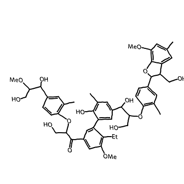 CCc1c(OC)cc(C(=O)C(CO)Oc2ccc(C(O)C(CO)OC)cc2C)cc1-c1cc(C(O)C(CO)Oc2ccc(C3Oc4c(OC)cc(C)cc4C3CO)cc2C)cc(C)c1O